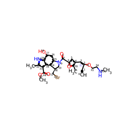 C#C/C(=C\c1cc(C(=O)N2C[C@@H](CBr)c3c2cc(O)c2[nH]c(C)c(C(=O)OC)c32)oc1C)OCCNC